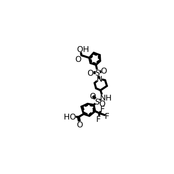 O=C(O)c1cccc(S(=O)(=O)N2CCC(NS(=O)(=O)c3ccc(C(=O)O)cc3C(F)(F)F)CC2)c1